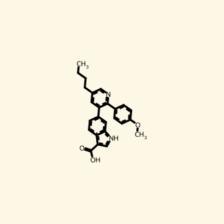 CCCCc1cnc(-c2ccc(OC)cc2)c(-c2ccc3c(C(=O)O)c[nH]c3c2)c1